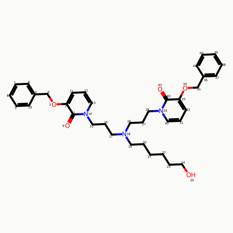 O=c1c(OCc2ccccc2)cccn1CCCN(CCCCCCO)CCCn1cccc(OCc2ccccc2)c1=O